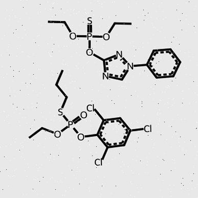 CCCSP(=O)(OCC)Oc1c(Cl)cc(Cl)cc1Cl.CCOP(=S)(OCC)Oc1ncn(-c2ccccc2)n1